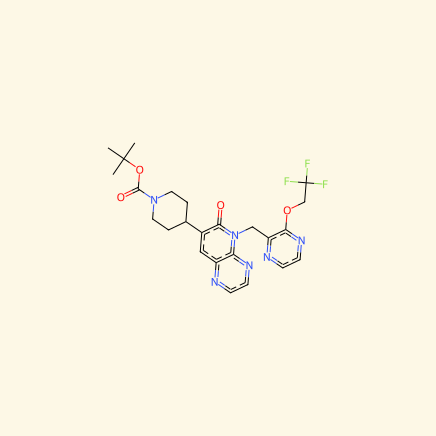 CC(C)(C)OC(=O)N1CCC(c2cc3nccnc3n(Cc3nccnc3OCC(F)(F)F)c2=O)CC1